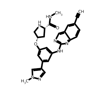 C#Cc1ccc2nc(Nc3cc(O[C@@H]4CN[C@H](C(=O)NC)C4)cc(-c4cnn(C)c4)c3)ncc2c1